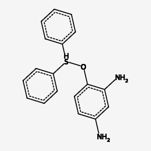 Nc1ccc(O[SH](c2ccccc2)c2ccccc2)c(N)c1